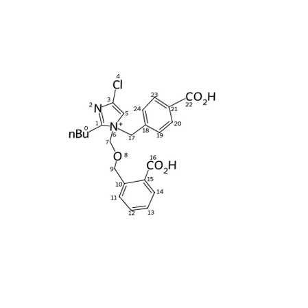 CCCCC1=NC(Cl)=C[N+]1(COCc1ccccc1C(=O)O)Cc1ccc(C(=O)O)cc1